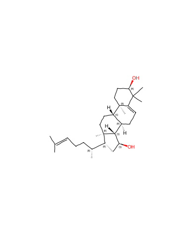 CC(C)=CCC[C@@H](C)[C@H]1C[C@H](O)[C@H]2[C@@H]3CC=C4C(C)(C)[C@H](O)CC[C@]4(C)[C@H]3CC[C@@]21C